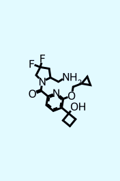 NCC1CC(F)(F)CN1C(=O)c1ccc(C2(O)CCC2)c(OCC2CC2)n1